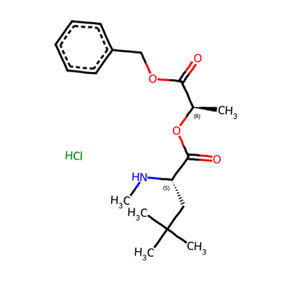 CN[C@@H](CC(C)(C)C)C(=O)O[C@H](C)C(=O)OCc1ccccc1.Cl